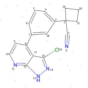 N#CC1(c2cccc(-c3ccnc4[nH]nc(Cl)c34)c2)CCC1